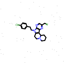 FCc1cnc2c(n1)c1c(n2CCc2ccc(Cl)cc2)CCN2CCCCC12